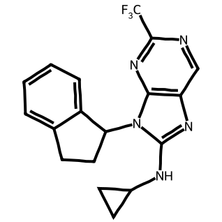 FC(F)(F)c1ncc2nc(NC3CC3)n(C3CCc4ccccc43)c2n1